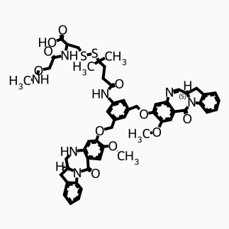 CNOCC(=O)NC(CSSC(C)(C)CCC(=O)Nc1cc(COc2cc3c(cc2OC)C(=O)N2c4ccccc4C[C@H]2C=N3)cc(COc2cc3c(cc2OC)C(=O)N2c4ccccc4C[C@H]2CN3)c1)C(=O)O